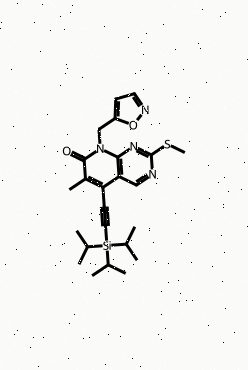 CSc1ncc2c(C#C[Si](C(C)C)(C(C)C)C(C)C)c(C)c(=O)n(Cc3ccno3)c2n1